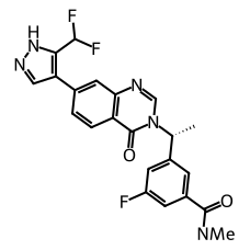 CNC(=O)c1cc(F)cc([C@@H](C)n2cnc3cc(-c4cn[nH]c4C(F)F)ccc3c2=O)c1